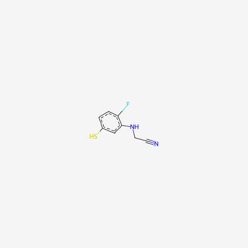 N#CCNc1cc(S)ccc1F